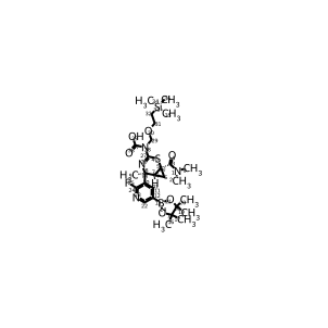 CN(C)C(=O)[C@]12C[C@H]1[C@@](C)(c1cc(B3OC(C)(C)C(C)(C)O3)cnc1F)N=C(N(COCC[Si](C)(C)C)C(=O)O)S2